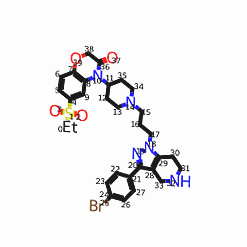 CCS(=O)(=O)c1ccc2c(c1)N(C1CCN(CCCn3nc(-c4ccc(Br)cc4)c4c3CCNC4)CC1)C(=O)CO2